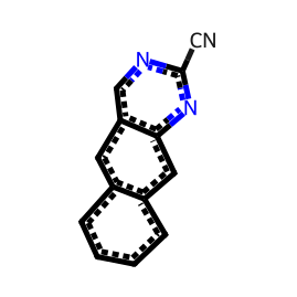 N#Cc1ncc2cc3ccccc3cc2n1